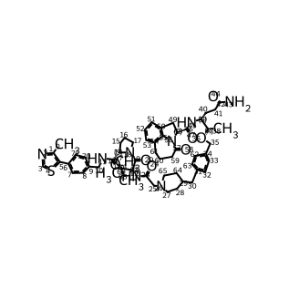 Cc1ncsc1-c1ccc(CNC(=O)[C@@H]2CCCN2C(=O)[C@@H](NC(=O)CN2CCC(Cc3ccc(CO[C@H](C)[C@H](CCC(N)=O)NC(=O)[C@@H]4Cc5cccc6c5N4C(=O)CCC6)cc3)CC2)C(C)(C)C)cc1